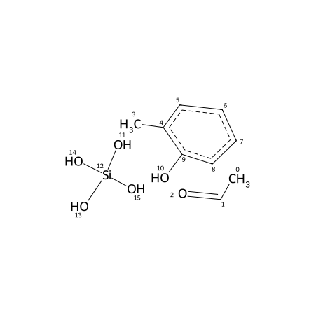 CC=O.Cc1ccccc1O.O[Si](O)(O)O